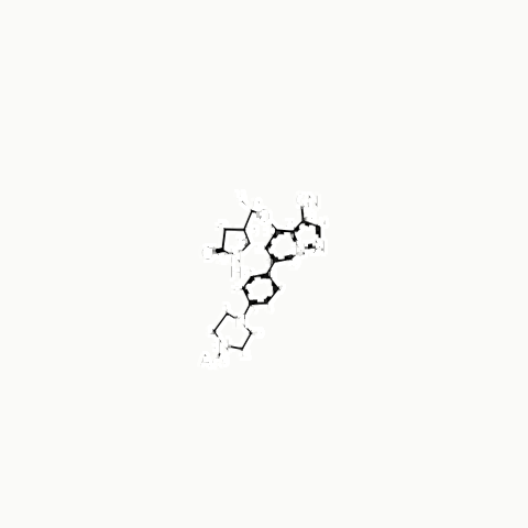 CC(=O)N1CCN(c2ccc(-c3cc(O[C@H](C)C4CNC(=O)C4)c4c(C#N)cnn4c3)cc2)CC1